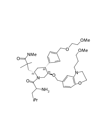 CNC(=O)C(C)(C)C[C@@H]1C[C@H](c2ccc(COCCOC)cc2)[C@@H](OCc2ccc3c(c2)N(CCCOC)CCO3)CN1C(=O)C(N)CC(C)C